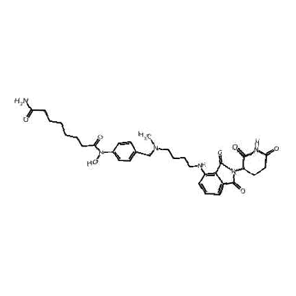 CN(CCCCNc1cccc2c1C(=O)N(C1CCC(=O)NC1=O)C2=O)Cc1ccc(N(O)C(=O)CCCCCCC(N)=O)cc1